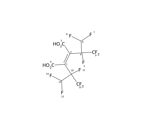 O=C(O)/C(=C(\C(=O)O)C(F)(C(F)F)C(F)(F)F)C(F)(C(F)F)C(F)(F)F